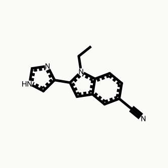 CCn1c(-c2c[nH]cn2)cc2cc(C#N)ccc21